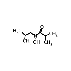 CC(C)CN(O)C(=O)C(C)C